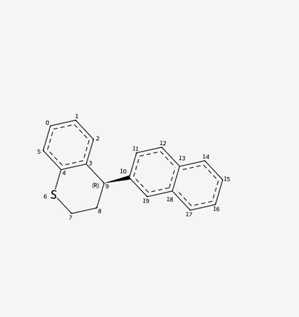 c1ccc2c(c1)SCC[C@@H]2c1ccc2ccccc2c1